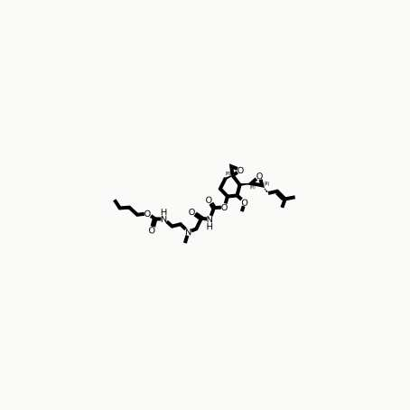 CCCCOC(=O)NCCN(C)CC(=O)NC(=O)OC1CC[C@]2(CO2)C([C@H]2O[C@@H]2CC=C(C)C)C1OC